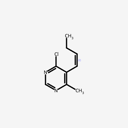 CC/C=C\c1c(C)ncnc1Cl